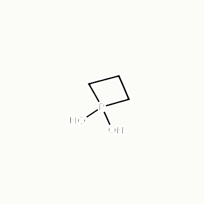 O[P]1(O)CCC1